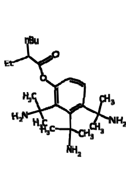 CCCCC(CC)C(=O)Oc1ccc(C(C)(C)N)c(C(C)(C)N)c1C(C)(C)N